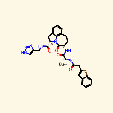 CC[C@H](C)[C@H](NC(=O)Cc1cc2ccccc2s1)C(=O)N[C@H]1CCc2cccc3c2N(C1=O)[C@H](C(=O)NCc1c[nH]nn1)C3